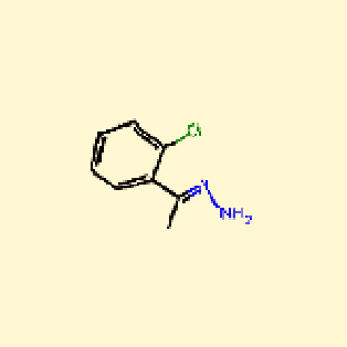 CC(=NN)c1ccccc1Cl